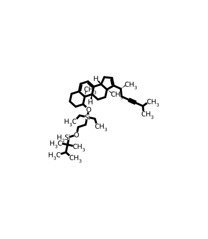 CC[Si](CC)(CCO[SiH2]C(C)(C)C(C)C)OC1CCCC2=CC=C3[C@@H]4CC=C([C@H](C)CC#CC(C)C)[C@@]4(C)CC[C@@H]3[C@]21C